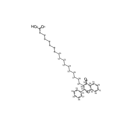 O=C(O)CCCCCCCCCCCCCCCCCc1c(-c2ccccc2)oc2ccccc2c1=O